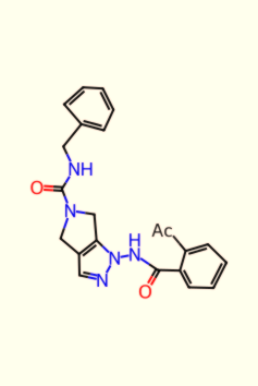 CC(=O)c1ccccc1C(=O)Nn1ncc2c1CN(C(=O)NCc1ccccc1)C2